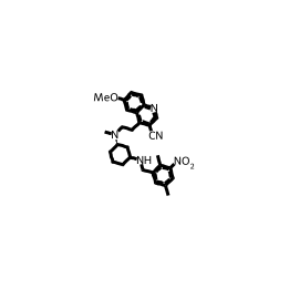 COc1ccc2ncc(C#N)c(CCN(C)[C@H]3CCCC(NCc4cc(C)cc([N+](=O)[O-])c4C)C3)c2c1